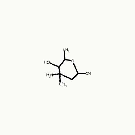 CC1OC(O)CC(C)(N)C1O